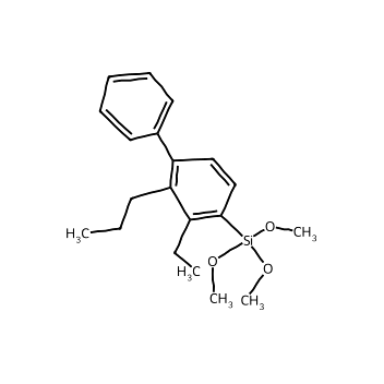 CCCc1c(-c2ccccc2)ccc([Si](OC)(OC)OC)c1CC